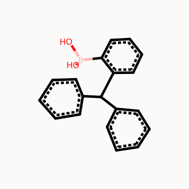 OB(O)c1ccccc1C(c1ccccc1)c1ccccc1